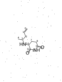 C=CCC(C)NC1CCC(=O)NC1=O